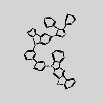 c1ccc(-c2nnc(-c3ccc4c(c3)c3ccccc3n4-c3cccc(-c4cccc(-n5c6ccccc6c6cc7c(cc65)oc5ccccc57)c4)c3)n2-c2ccccc2)cc1